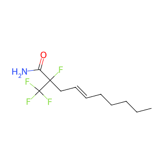 CCCCCC=CCC(F)(C(N)=O)C(F)(F)F